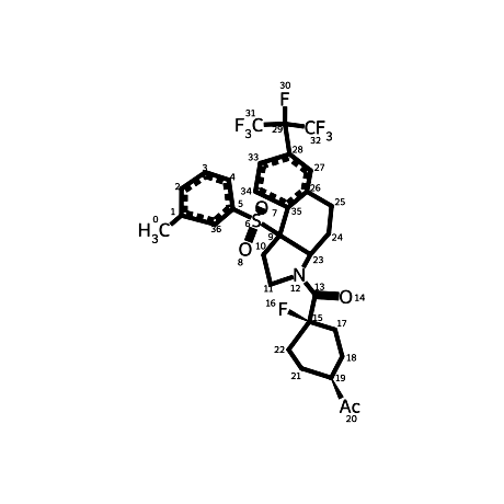 Cc1cccc(S(=O)(=O)C23CCN(C(=O)[C@]4(F)CC[C@@H](C(C)=O)CC4)C2CCc2cc(C(F)(C(F)(F)F)C(F)(F)F)ccc23)c1